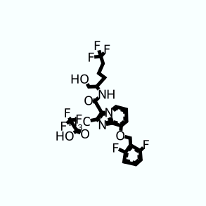 Cc1nc2c(OCc3c(F)cccc3F)cccn2c1C(=O)NC(CO)CCCC(F)(F)F.O=C(O)C(F)(F)F